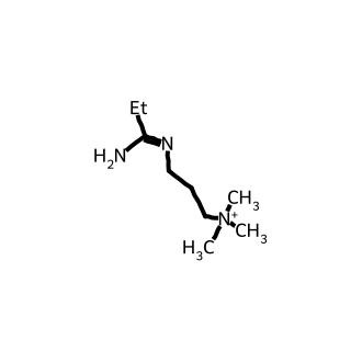 CCC(N)=NCCC[N+](C)(C)C